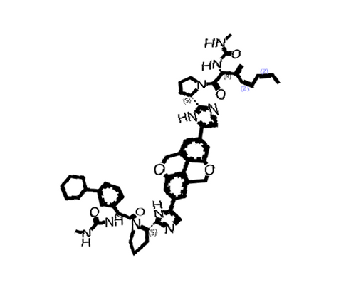 C=C(/C=C\C=C/C)[C@@H](NC(=O)NC)C(=O)N1CCC[C@H]1c1ncc(-c2cc3c4c(c2)OCc2cc(-c5cnc([C@@H]6CCCN6C(=O)[C@H](NC(=O)NC)c6cccc(C7CCCCC7)c6)[nH]5)cc(c2-4)OC3)[nH]1